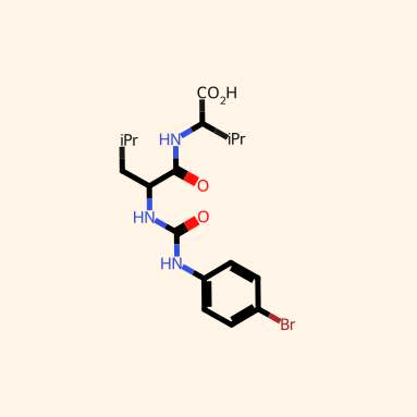 CC(C)CC(NC(=O)Nc1ccc(Br)cc1)C(=O)NC(C(=O)O)C(C)C